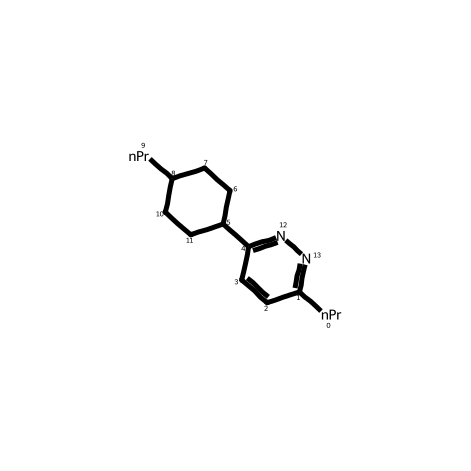 CCCc1ccc(C2CCC(CCC)CC2)nn1